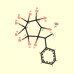 CC(c1ccccc1)C1(Br)C(Br)C(Br)(Br)C(Br)(Br)C(Br)(Br)C1(Br)Br.[Sb]